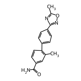 Cc1nc(-c2ccc(-c3ccc(C(N)=O)cc3C)cc2)no1